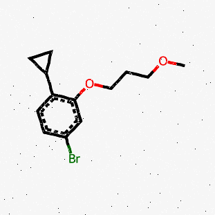 COCCCOc1cc(Br)ccc1C1CC1